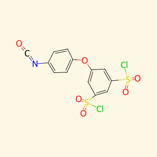 O=C=Nc1ccc(Oc2cc(S(=O)(=O)Cl)cc(S(=O)(=O)Cl)c2)cc1